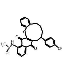 C[S+]([O-])Nc1cccc2c1C(=O)C1=C(CC(c3ccc(C#N)cc3)CCCc3ccccc3O1)C2=O